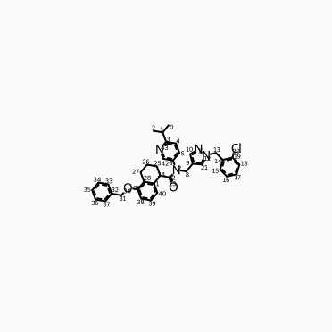 CC(C)c1ccc(N(Cc2cnn(Cc3ccccc3Cl)c2)C(=O)C2CCCc3c(OCc4ccccc4)cccc32)cn1